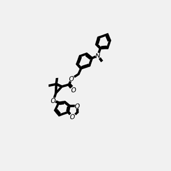 CN(c1ccccc1)c1cccc(COC(=O)C2C(Oc3ccc4c(c3)OCO4)C2(C)C)c1